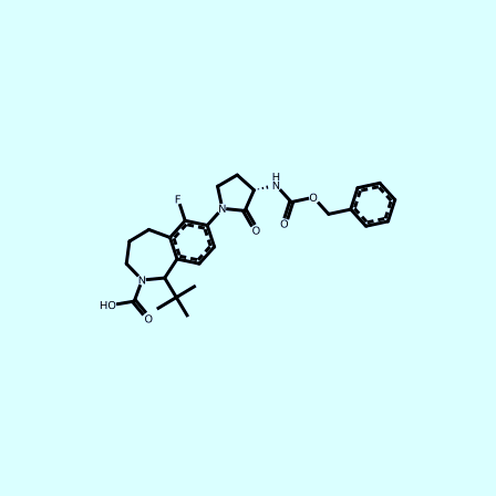 CC(C)(C)C1c2ccc(N3CC[C@H](NC(=O)OCc4ccccc4)C3=O)c(F)c2CCCN1C(=O)O